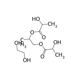 CC(COC(=O)C(C)O)OC(=O)C(C)O.OCCO